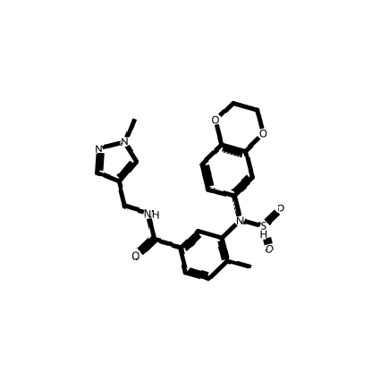 Cc1ccc(C(=O)NCc2cnn(C)c2)cc1N(c1ccc2c(c1)OCCO2)[SH](=O)=O